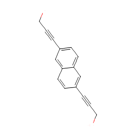 OCC#Cc1ccc2cc(C#CCO)ccc2c1